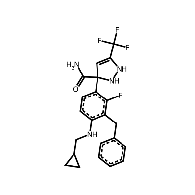 NC(=O)C1(c2ccc(NCC3CC3)c(Cc3ccccc3)c2F)C=C(C(F)(F)F)NN1